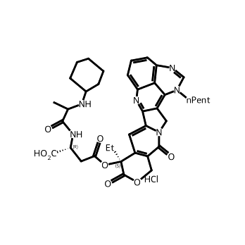 CCCCCN1C=Nc2cccc3nc4c(c1c23)Cn1c-4cc2c(c1=O)COC(=O)[C@@]2(CC)OC(=O)C[C@@H](NC(=O)C(C)NC1CCCCC1)C(=O)O.Cl